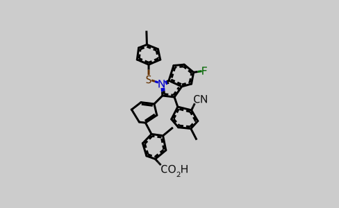 Cc1ccc(Sn2c(C3=CCCC(c4ccc(C(=O)O)cc4C)=C3)c(-c3ccc(C)cc3C#N)c3cc(F)ccc32)cc1